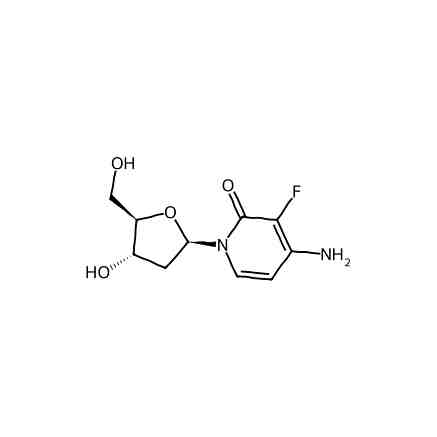 Nc1ccn([C@H]2C[C@H](O)[C@@H](CO)O2)c(=O)c1F